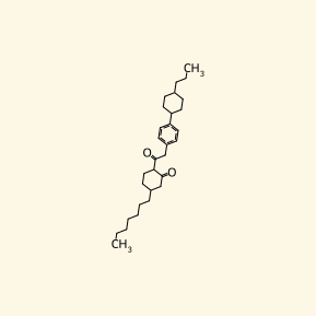 CCCCCCCC1CCC(C(=O)Cc2ccc(C3CCC(CCC)CC3)cc2)C(=O)C1